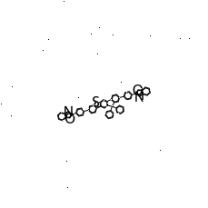 c1ccc(C2(c3ccccc3)c3cc(-c4ccc(-c5nc6ccccc6o5)cc4)ccc3-c3cc4sc5cc(-c6ccc(-c7nc8ccccc8o7)cc6)ccc5c4cc32)cc1